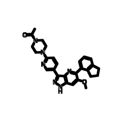 COc1cc2[nH]nc(-c3ccc(N4CCN(C(C)=O)CC4)nc3)c2nc1-c1cccc2c1CCC2